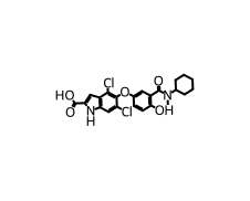 CN(C(=O)c1cc(Oc2c(Cl)cc3[nH]c(C(=O)O)cc3c2Cl)ccc1O)C1CCCCC1